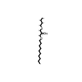 CCCCCCCCCCOCC(O)CSCCCC